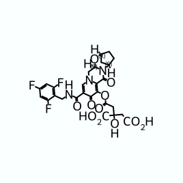 O=C(O)CC(O)(CC(=O)Oc1c2n(cc(C(=O)NCc3c(F)cc(F)cc3F)c1=O)C[C@H]1O[C@@H]3CC[C@@H](C3)N1C2=O)C(=O)O